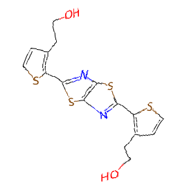 OCCc1ccsc1-c1nc2sc(-c3sccc3CCO)nc2s1